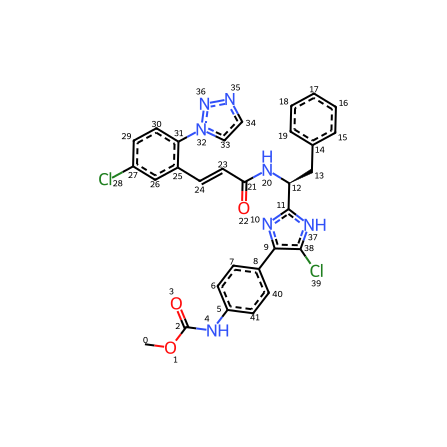 COC(=O)Nc1ccc(-c2nc([C@H](Cc3ccccc3)NC(=O)/C=C/c3cc(Cl)ccc3-n3ccnn3)[nH]c2Cl)cc1